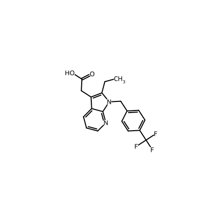 CCc1c(CC(=O)O)c2cccnc2n1Cc1ccc(C(F)(F)F)cc1